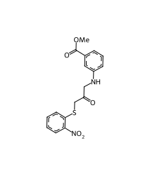 COC(=O)c1cccc(NCC(=O)CSc2ccccc2[N+](=O)[O-])c1